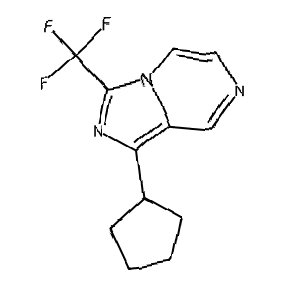 FC(F)(F)c1nc(C2CCCC2)c2cnccn12